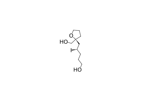 OCCC[C@@H](I)C[C@]1(CO)CCCO1